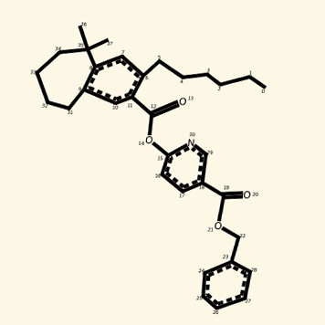 CCCCCCc1cc2c(cc1C(=O)Oc1ccc(C(=O)OCc3ccccc3)cn1)CCCCC2(C)C